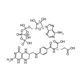 Nc1nc(=O)c2c([nH]1)NCC(CNc1ccc(C(=O)N[C@@H](CCC(=O)O)C(=O)O)cc1)N2.Nc1ncnc2c1ncn2[C@@H]1O[C@H](COP(=O)(O)OP(=O)(O)OP(=O)(O)O)[C@@H](O)[C@H]1O